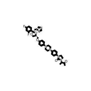 CC(=O)C(C)N1CCN(c2ccc(N3CCN(c4ccc(OC[C@@H]5CO[C@@](Cn6cncn6)(c6ccc(F)cc6F)O5)cc4)CC3)cc2)C1=O